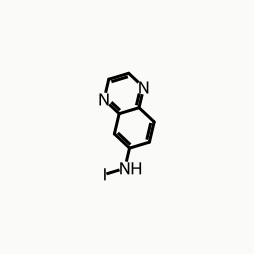 INc1ccc2nccnc2c1